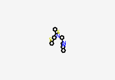 c1cc(-c2cc3cc4ccccc4cn3n2)cc(-n2c3cc4c(cc3c3c5ccccc5sc32)sc2ccccc24)c1